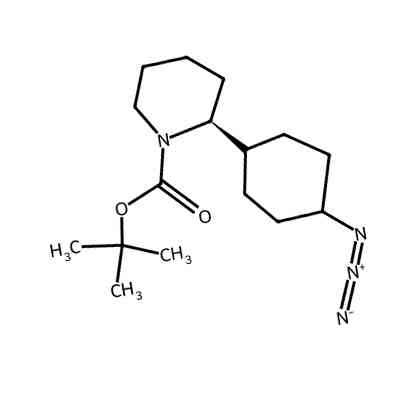 CC(C)(C)OC(=O)N1CCCC[C@H]1C1CCC(N=[N+]=[N-])CC1